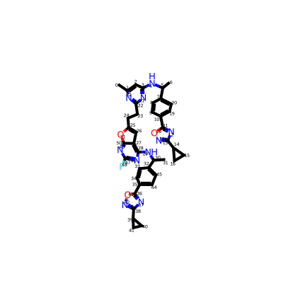 Cc1cc(NC(C)c2ccc(-c3nc(C4CC4)no3)cc2)nc(CCc2cc3c(NC(C)c4ccc(-c5nc(C6CC6)no5)cc4)nc(F)nc3o2)n1